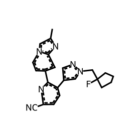 Cc1cn2ccc(-c3nc(C#N)ccc3-c3cnn(CC4(F)CCCC4)c3)cc2n1